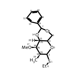 CCSC1OC2COC(c3ccccc3)O[C@H]2[C@H](OC)[C@@H]1C